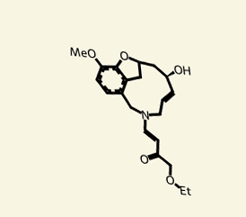 CCOCC(=O)/C=C/N1C/C=C/[C@H](O)CC2Cc3c(ccc(OC)c3O2)C1